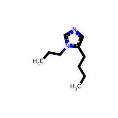 CCCCc1cncn1CCC